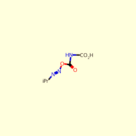 CC(C)N=NOC(=O)NC(=O)O